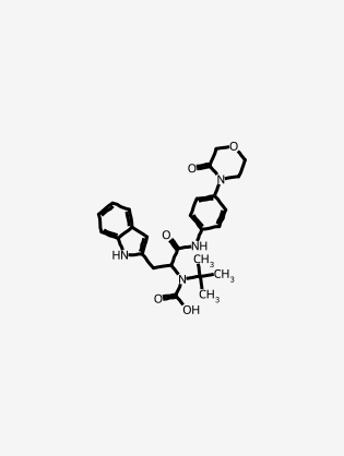 CC(C)(C)N(C(=O)O)C(Cc1cc2ccccc2[nH]1)C(=O)Nc1ccc(N2CCOCC2=O)cc1